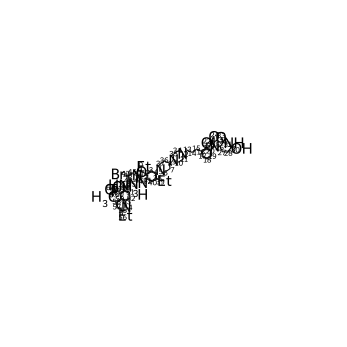 CCOc1cc(N2CCC(N3CCN(CCCc4cccc5c4oc(=O)n5C4CCC(O)NC4=O)CC3)CC2)c(CC)cc1Nc1ncc(Br)c(Nc2ccc3nc(CC)ccc3c2P(C)(C)=O)n1